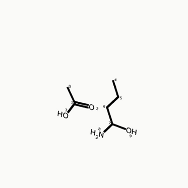 CC(=O)O.CCCC(N)O